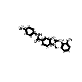 CC(C)c1ccccc1Nc1nc2cc(C(=O)Nc3ccc(Br)cc3)ccc2n1C